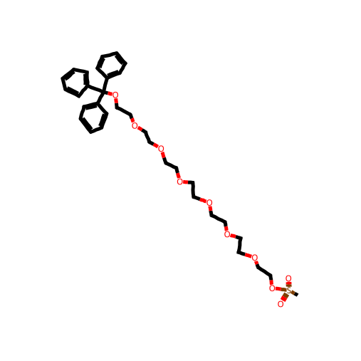 CS(=O)(=O)OCCOCCOCCOCCOCCOCCOCCOC(c1ccccc1)(c1ccccc1)c1ccccc1